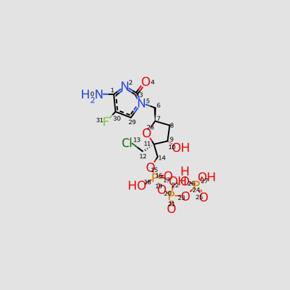 Nc1nc(=O)n(C[C@H]2C[C@H](O)[C@@](CCl)(COP(=O)(O)OP(=O)(O)OP(=O)(O)O)O2)cc1F